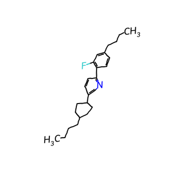 CCCCc1ccc(-c2ccc(C3CCC(CCCC)CC3)cn2)c(F)c1